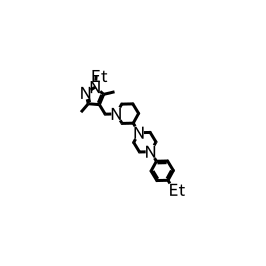 CCc1ccc(N2CCN(C3CCCN(Cc4c(C)nn(CC)c4C)C3)CC2)cc1